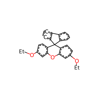 CCOc1ccc2c(c1)Oc1cc(OCC)ccc1C21c2ccccc2-c2ccccc21